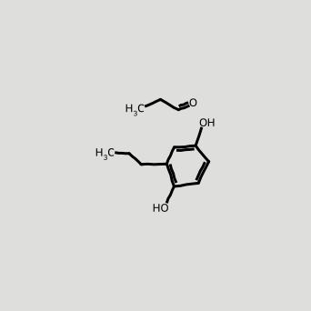 CCC=O.CCCc1cc(O)ccc1O